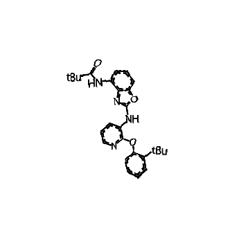 CC(C)(C)C(=O)Nc1cccc2oc(Nc3cccnc3Oc3ccccc3C(C)(C)C)nc12